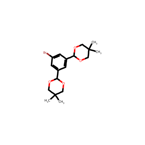 CC1(C)COC(c2cc(Br)cc(C3OCC(C)(C)CO3)c2)OC1